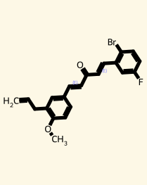 C=CCc1cc(/C=C/C(=O)/C=C/c2cc(F)ccc2Br)ccc1OC